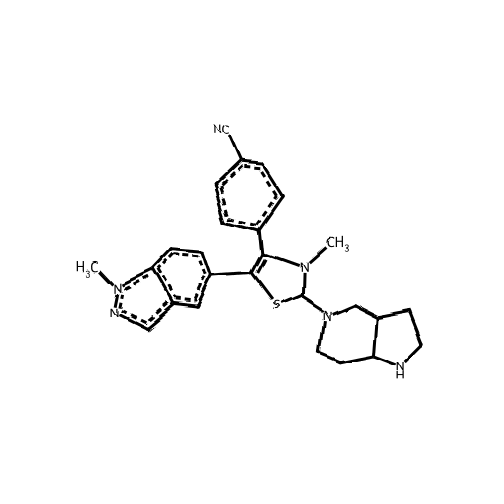 CN1C(c2ccc(C#N)cc2)=C(c2ccc3c(cnn3C)c2)SC1N1CCC2NCCC2C1